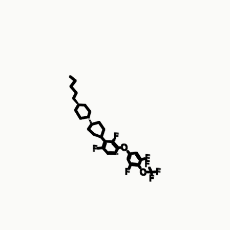 CCCCC[C@H]1CC[C@H](C2CCC(c3c(F)c[c]c(Oc4cc(F)c(OC(F)(F)F)c(F)c4)c3F)CC2)CC1